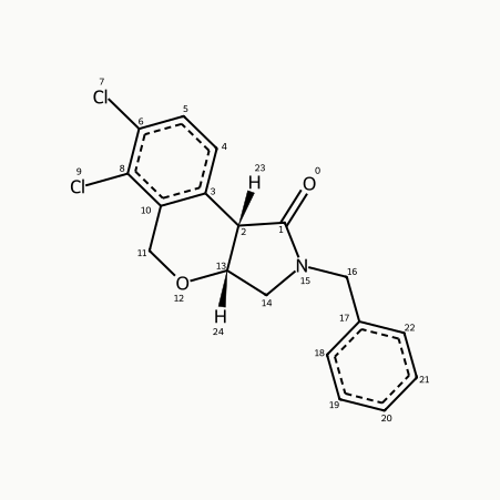 O=C1[C@H]2c3ccc(Cl)c(Cl)c3CO[C@H]2CN1Cc1ccccc1